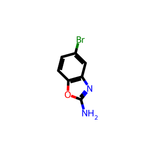 Nc1nc2cc(Br)ccc2o1